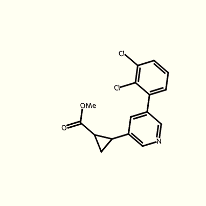 COC(=O)C1CC1c1cncc(-c2cccc(Cl)c2Cl)c1